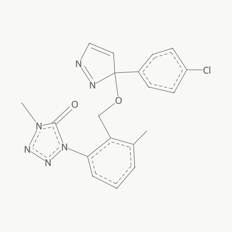 Cc1cccc(-n2nnn(C)c2=O)c1COC1(c2ccc(Cl)cc2)C=CN=N1